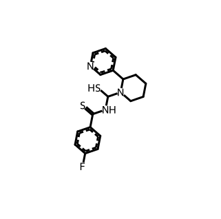 Fc1ccc(C(=S)NC(S)N2CCCCC2c2cccnc2)cc1